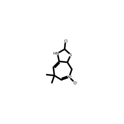 CC1(C)C=C2NC(Cl)SC2C[N+]([O-])=C1